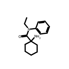 CCN(C(=O)C1(N)CCCCC1)c1ccccc1